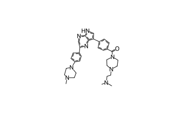 CN(C)CCN1CCN(C(=O)c2ccc(-c3c[nH]c4ncc(-c5ccc(N6CCN(C)CC6)cc5)nc34)cc2)CC1